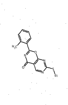 CCSc1ncc2c(=O)nc(-c3ccccc3C)oc2n1